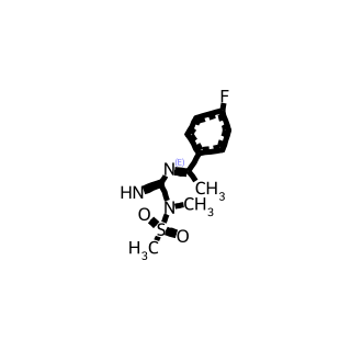 C/C(=N\C(=N)N(C)S(C)(=O)=O)c1ccc(F)cc1